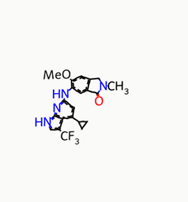 COc1cc2c(cc1Nc1cc(C3CC3)c3c(C(F)(F)F)c[nH]c3n1)C(=O)N(C)C2